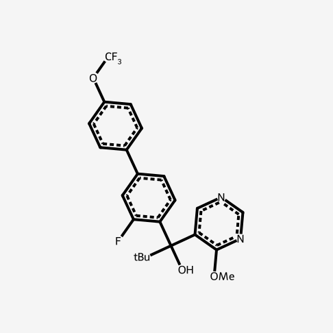 COc1ncncc1C(O)(c1ccc(-c2ccc(OC(F)(F)F)cc2)cc1F)C(C)(C)C